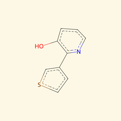 Oc1cccnc1-c1ccsc1